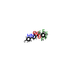 Cc1ccc(-c2ccc(C(=O)Oc3c(F)c(F)c(F)c(F)c3F)c(=O)[nH]2)cc1